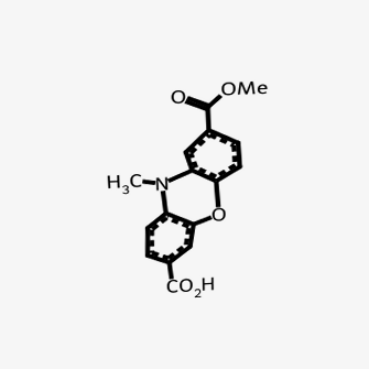 COC(=O)c1ccc2c(c1)N(C)c1ccc(C(=O)O)cc1O2